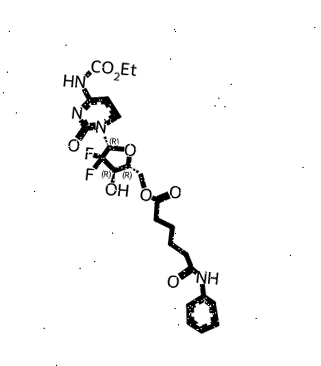 CCOC(=O)Nc1ccn([C@@H]2O[C@H](COC(=O)CCCCC(=O)Nc3ccccc3)[C@@H](O)C2(F)F)c(=O)n1